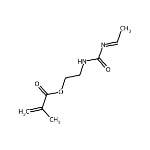 C=C(C)C(=O)OCCNC(=O)N=CC